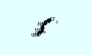 CC(C)(C)OC(=O)N1CC(C(=O)N(O)Cc2ccc(Nc3ccc(N4CCC(C(F)(F)F)CC4)cc3)cc2)C1